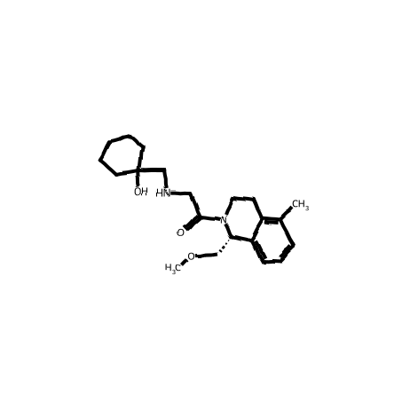 COC[C@H]1c2cccc(C)c2CCN1C(=O)CNCC1(O)CCCCC1